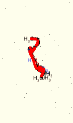 CCCCC/C=C\C/C=C\CCCCCCCCOCC(CN1CCCCC1)OCCOCCNC(=O)COCC(=O)O[C@H]1CC[C@@]2(C)C(=CC[C@@]3(N)[C@@H]4CC[C@H]([C@H](C)CCCC(C)C)[C@@]4(C)CC[C@]23N)C1